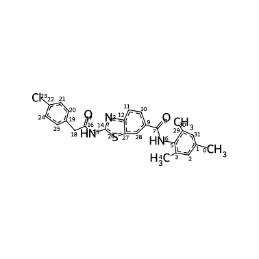 Cc1cc(C)c(NC(=O)c2ccc3nc(NC(=O)Cc4ccc(Cl)cc4)sc3c2)c(C)c1